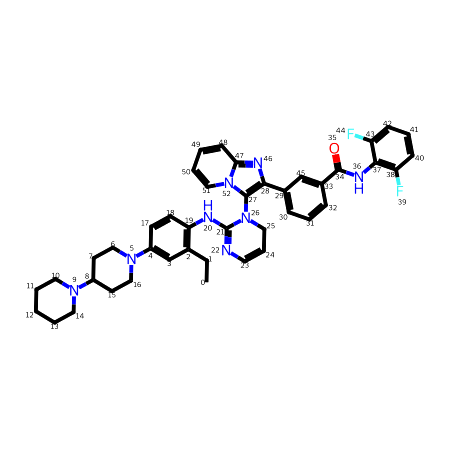 CCc1cc(N2CCC(N3CCCCC3)CC2)ccc1NC1=NC=CCN1c1c(-c2cccc(C(=O)Nc3c(F)cccc3F)c2)nc2ccccn12